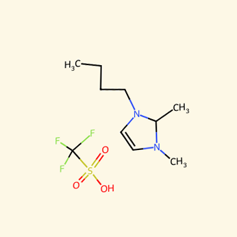 CCCCN1C=CN(C)C1C.O=S(=O)(O)C(F)(F)F